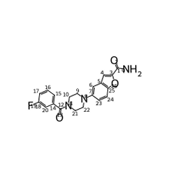 NC(=O)c1cc2cc(N3CCN(C(=O)c4cccc(F)c4)CC3)ccc2o1